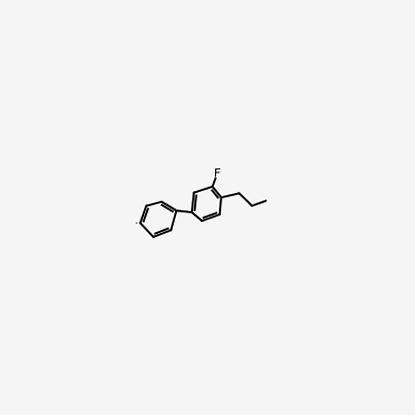 CCCc1ccc(-c2cc[c]cc2)cc1F